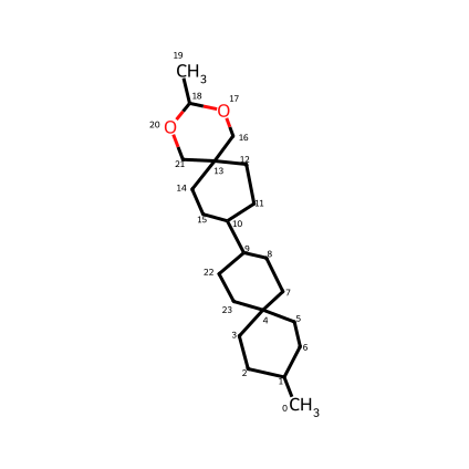 CC1CCC2(CC1)CCC(C1CCC3(CC1)COC(C)OC3)CC2